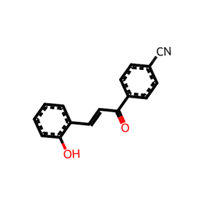 N#Cc1ccc(C(=O)C=Cc2ccccc2O)cc1